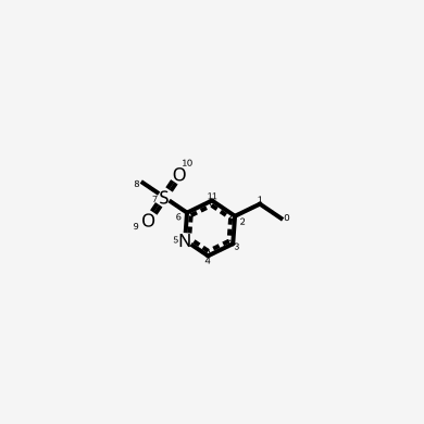 CCc1ccnc(S(C)(=O)=O)c1